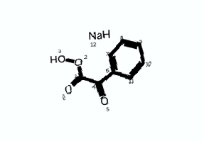 O=C(OO)C(=O)c1ccccc1.[NaH]